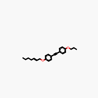 CCCCC=CCOc1ccc(C#Cc2ccc(OCCC)cc2)cc1